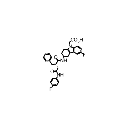 O=C(O)Cn1c2c(c3cc(F)ccc31)C[C@@H](NC(=O)[C@H](CC(=O)Nc1ccc(F)cc1)Cc1ccccc1)CC2